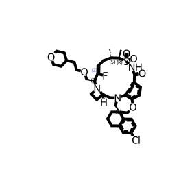 C[C@@H]1[C@@H](C)C/C=C(\F)[C@H](COCCC2CCOCC2)N2CC[C@H]2CN2C[C@@]3(CCCc4cc(Cl)ccc43)COc3ccc(cc32)C(=O)NS1(=O)=O